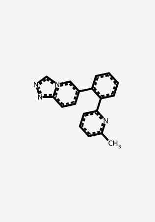 Cc1cccc(-c2ccccc2-c2ccc3nncn3c2)n1